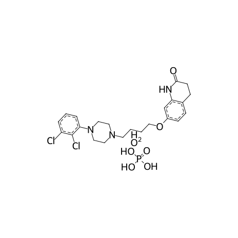 O.O=C1CCc2ccc(OCCCCN3CCN(c4cccc(Cl)c4Cl)CC3)cc2N1.O=P(O)(O)O